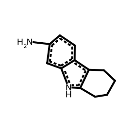 Nc1ccc2c3c([nH]c2c1)CCCC3